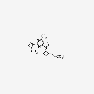 C[C@H]1CCN1c1nc2c(c(C(F)(F)F)n1)CCN2[C@@H]1CC[C@H]1CCC(=O)O